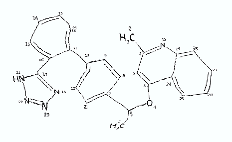 Cc1cc(OC(C)c2ccc(-c3ccccc3-c3nnn[nH]3)cc2)c2ccccc2n1